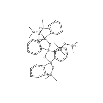 C[SiH](C)O[Si](C)(C)O[Si](O[Si](C)(C)O[SiH](C)C)(O[Si](O[SiH](C)C)(c1ccccc1)c1ccccc1)O[Si](O[SiH](C)C)(c1ccccc1)c1ccccc1